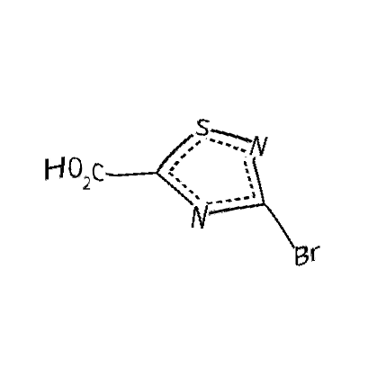 O=C(O)c1nc(Br)ns1